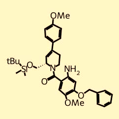 COc1ccc(C2=C[C@@H](CO[Si](C)(C)C(C)(C)C)N(C(=O)c3cc(OC)c(OCc4ccccc4)cc3N)CC2)cc1